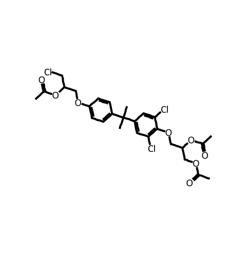 CC(=O)OCC(COc1c(Cl)cc(C(C)(C)c2ccc(OCC(CCl)OC(C)=O)cc2)cc1Cl)OC(C)=O